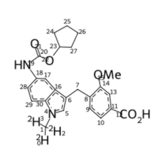 [2H]C([2H])([2H])n1cc(Cc2ccc(C(=O)O)cc2OC)c2cc(NC(=O)OC3CCCC3)ccc21